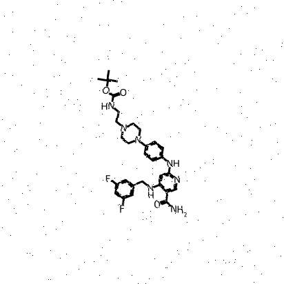 CC(C)(C)OC(=O)NCCN1CCN(c2ccc(Nc3cc(NCc4cc(F)cc(F)c4)c(C(N)=O)cn3)cc2)CC1